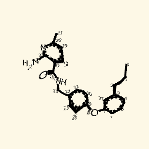 CCCc1cccc(Oc2ccc(CNC(=O)c3ccc(C)nc3N)cc2)c1